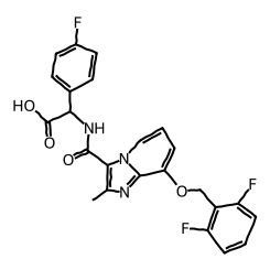 Cc1nc2c(OCc3c(F)cccc3F)cccn2c1C(=O)NC(C(=O)O)c1ccc(F)cc1